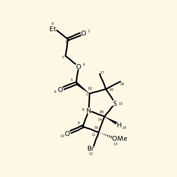 CCC(=O)COC(=O)[C@@H]1N2C(=O)[C@@](Br)(OC)[C@H]2SC1(C)C